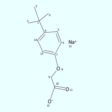 CC(C)(C)c1ccc(OCC(=O)[O-])cc1.[Na+]